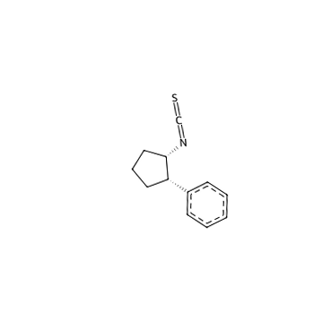 S=C=N[C@H]1CCC[C@H]1c1ccccc1